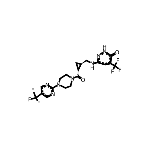 O=C([C@@H]1C[C@H]1CNc1cc(C(F)(F)F)c(=O)[nH]n1)N1CCN(c2ncc(C(F)(F)F)cn2)CC1